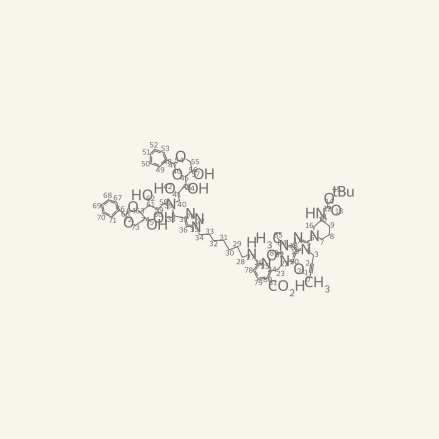 CC#CCn1c(N2CCCC(NC(=O)OC(C)(C)C)C2)nc2c1c(=O)n(Cc1nc(NCCCCCCCn3cc(CN(C[C@H](O)[C@@H](O)[C@@H]4OC(c5ccccc5)OC[C@H]4O)C[C@H](O)[C@@H](O)[C@@H]4OC(c5ccccc5)OC[C@H]4O)nn3)ccc1C(=O)O)c(=O)n2C